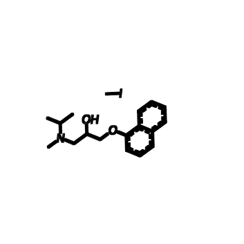 CC(C)N(C)CC(O)COc1cccc2ccccc12.CI